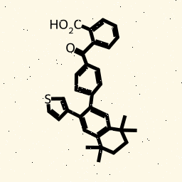 CC1(C)CCC(C)(C)c2cc(-c3ccsc3)c(-c3ccc(C(=O)c4ccccc4C(=O)O)cc3)cc21